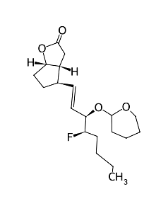 CCCC[C@@H](F)[C@@H](C=C[C@H]1CC[C@@H]2OC(=O)C[C@@H]21)OC1CCCCO1